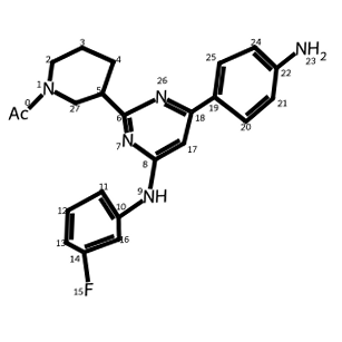 CC(=O)N1CCCC(c2nc(Nc3cccc(F)c3)cc(-c3ccc(N)cc3)n2)C1